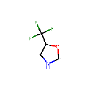 FC(F)(F)C1CN[CH]O1